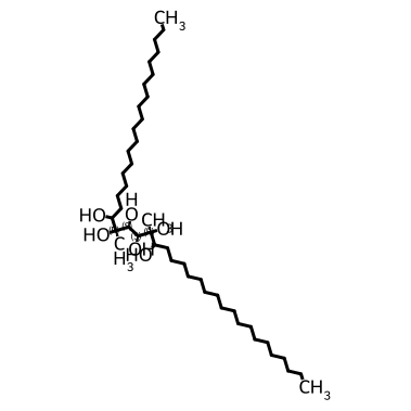 CCCCCCCCCCCCCCCCCCC(O)[C@@](C)(O)[C@@H](O)[C@H](O)[C@](C)(O)C(O)CCCCCCCCCCCCCCCCCC